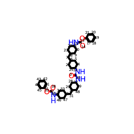 O=C(NC1CCC(CC2CCC(NC(=O)Oc3ccccc3)CC2)CC1)NC1CCC(CC2CCC(NC(=O)Oc3ccccc3)CC2)CC1